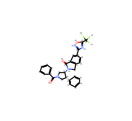 O=C(c1ccccc1)N1C[C@@H](N2Cc3ccc(-c4noc(C(F)(F)F)n4)cc3C2=O)[C@H](c2ccccc2)C1